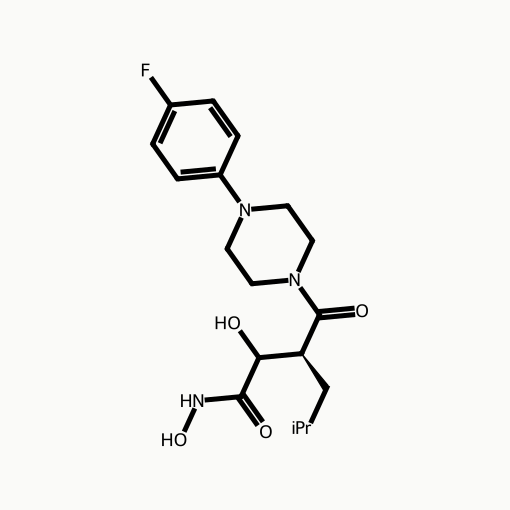 CC(C)C[C@H](C(=O)N1CCN(c2ccc(F)cc2)CC1)C(O)C(=O)NO